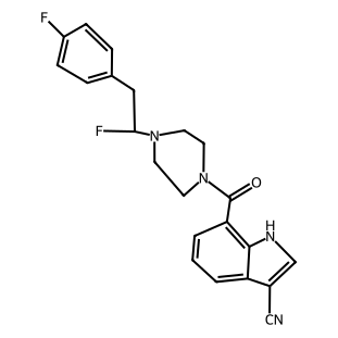 N#Cc1c[nH]c2c(C(=O)N3CCN(C(F)Cc4ccc(F)cc4)CC3)cccc12